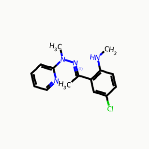 CNc1ccc(Cl)cc1/C(C)=N/N(C)c1ccccn1